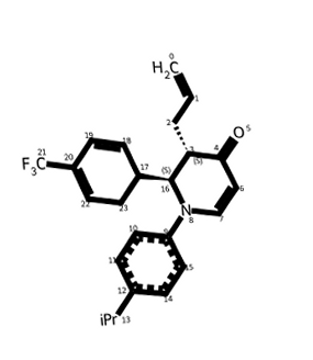 C=CC[C@@H]1C(=O)C=CN(c2ccc(C(C)C)cc2)[C@H]1C1C=CC(C(F)(F)F)=CC1